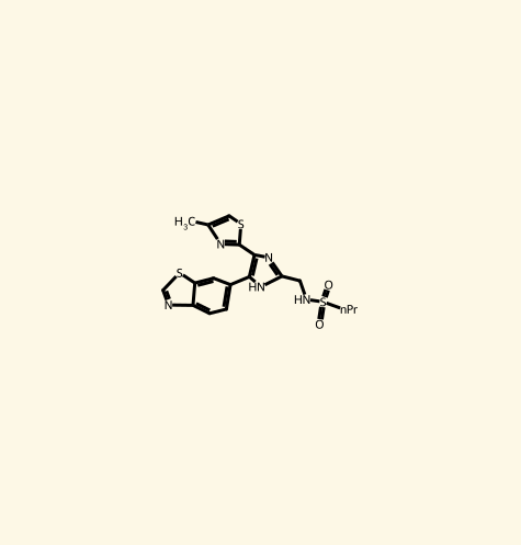 CCCS(=O)(=O)NCc1nc(-c2nc(C)cs2)c(-c2ccc3ncsc3c2)[nH]1